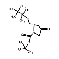 CC(C)(C)OC(=O)N1CC(=O)C[C@H]1CO[Si](C)(C)C(C)(C)C